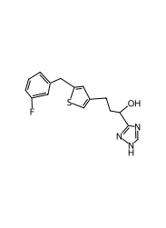 OC(CCc1csc(Cc2cccc(F)c2)c1)c1nc[nH]n1